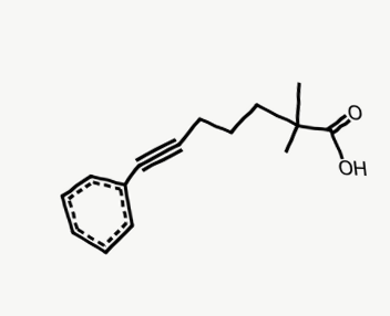 CC(C)(CCCC#Cc1ccccc1)C(=O)O